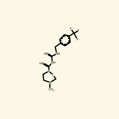 CN1CCN(C(=N)NC(=N)NCc2ccc(C(F)(F)F)cc2)CC1